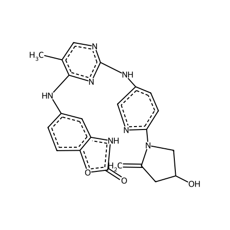 C=C1CC(O)CN1c1ccc(Nc2ncc(C)c(Nc3ccc4oc(=O)[nH]c4c3)n2)cn1